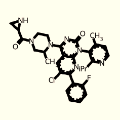 Cc1ccnc(C(C)C)c1-n1c(=O)nc(N2CCN(C(=O)C3CN3)CC2C)c2cc(Cl)c(-c3ccccc3F)nc21